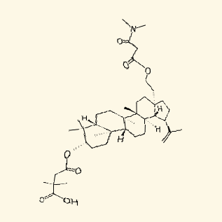 C=C(C)[C@@H]1CC[C@]2(CCOC(=O)CC(=O)N(C)C)CC[C@]3(C)[C@H](CC[C@@H]4[C@@]5(C)CC[C@H](OC(=O)CC(C)(C)C(=O)O)C(C)(C)[C@@H]5CC[C@]43C)[C@@H]12